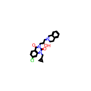 O=c1c2ccc(Cl)cc2n(CC2CC2)c(=O)n1C[C@H](O)CN1CCc2ccccc2C1